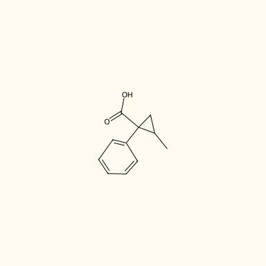 CC1CC1(C(=O)O)c1ccccc1